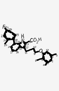 Cc1cc(C)c(C)c(OCCCc2c(C(=O)O)[nH]c3c(-c4ccc(F)cc4C)cccc23)c1